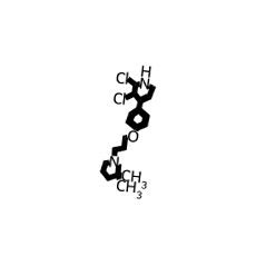 CC1(C)CCCN(CCCOc2ccc(C3=CCNC(Cl)C3Cl)cc2)C1